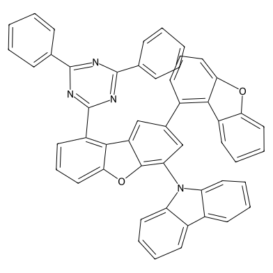 c1ccc(-c2nc(-c3ccccc3)nc(-c3cccc4oc5c(-n6c7ccccc7c7ccccc76)cc(-c6cccc7oc8ccccc8c67)cc5c34)n2)cc1